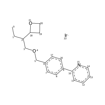 CCC(COCc1ccc(-c2ccccn2)cc1)C1CCO1.[Ir]